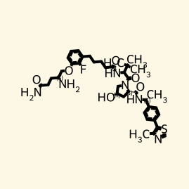 Cc1ncsc1-c1ccc([C@H](C)NC(=O)[C@@H]2C[C@@H](O)CN2C(=O)C(NC(=O)CCCCc2cccc(OC[C@@H](N)CCC(N)=O)c2F)C(C)(C)C)cc1